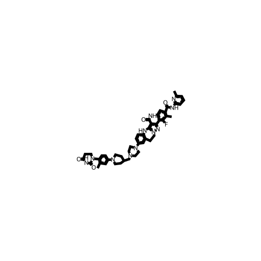 Cc1cccc(NC(=O)c2ccc(-c3nn4c(c3C(N)=O)Nc3ccc(N5CCN(CC6CCN(c7ccc(N8CCC(=O)NC8=O)c(C)c7)CC6)CC5)cc3CC4)c(F)c2C)n1